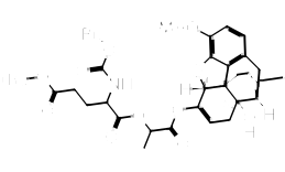 COc1ccc2c3c1O[C@H]1C(OC(=O)C(C)OC(=O)C(CCC(=O)OC(C)(C)C)NC(=O)OC(C)(C)C)=CC[C@@]4(O)[C@@H](C2)N(C)CC[C@]314